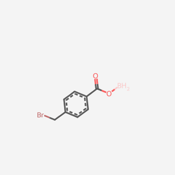 BOC(=O)c1ccc(CBr)cc1